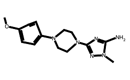 COc1ccc(N2CCN(c3nc(N)n(C)n3)CC2)cc1